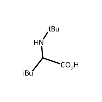 CCC(C)C(NC(C)(C)C)C(=O)O